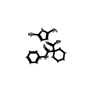 Cc1ccc(C)o1.O=C(O)C1(C(=O)Nc2ccccc2)CCCCC1